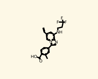 C=Cc1cc(NCCC(F)(F)F)c2ncc(-c3ccc(C(=O)O)c(C)c3)n2c1